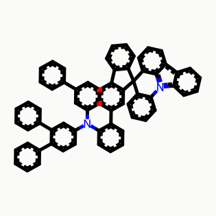 c1ccc(-c2cccc(N(c3ccc(-c4ccccc4)c(-c4ccccc4)c3)c3ccccc3-c3ccc4c(c3)C3(c5ccccc5-4)c4ccccc4-n4c5ccccc5c5cccc3c54)c2)cc1